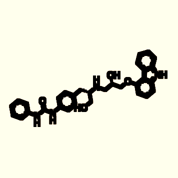 O=C(Nc1ccccc1)Nc1ccc(C[C@@H](CO)NC[C@H](O)COc2cccc3[nH]c4ccccc4c23)cc1